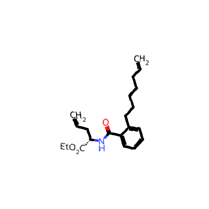 C=CCCCCCc1ccccc1C(=O)N[C@@H](CC=C)C(=O)OCC